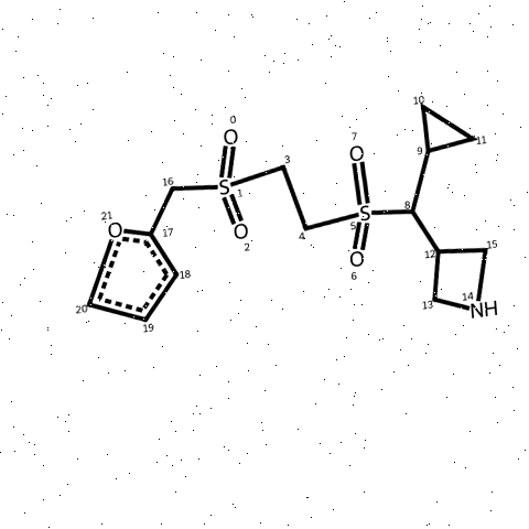 O=S(=O)(CCS(=O)(=O)C(C1CC1)C1CNC1)Cc1ccco1